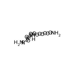 Cc1c(C(=O)N2CCOc3ccc(-c4ccc(N)nc4)cc3C2)ccc([S+]([O-])CCNC(=O)CCOCCOCCOCCOCCOCCOCCN)c1F